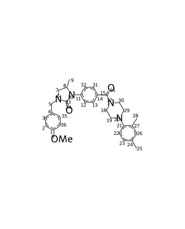 COc1ccc(CN2CC(C)N(c3ccc(C(=O)N4CCN(c5ccc(C)cc5C)CC4)cc3)C2=O)cc1